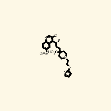 COc1ccc2ncc(Cl)c([C@H](F)CCC3(C(=O)O)CCN(CCSc4cccs4)CC3)c2c1